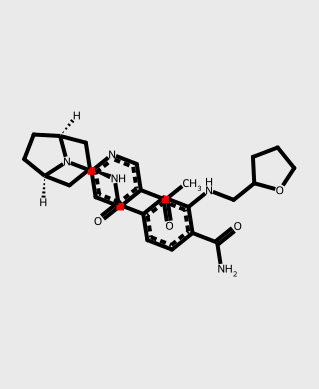 CC(=O)c1ccc(N2[C@@H]3CC[C@H]2C[C@@H](NC(=O)c2ccc(C(N)=O)c(NCC4CCCO4)c2)C3)nc1